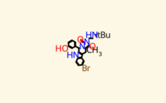 CC(C)(C)NCCN1C(=O)N2C(c3cccc(O)c3)c3[nH]c4ccc(Br)cc4c3CC2(C)C1=O